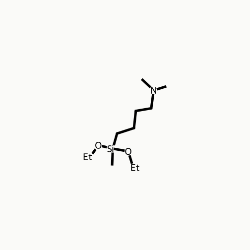 CCO[Si](C)(CCCCN(C)C)OCC